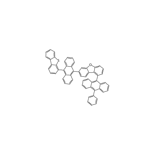 c1ccc(-c2c3ccccc3c(-c3cccc4oc5cc(-c6c7ccccc7c(-c7cccc8c7sc7ccccc78)c7ccccc67)ccc5c34)c3ccccc23)cc1